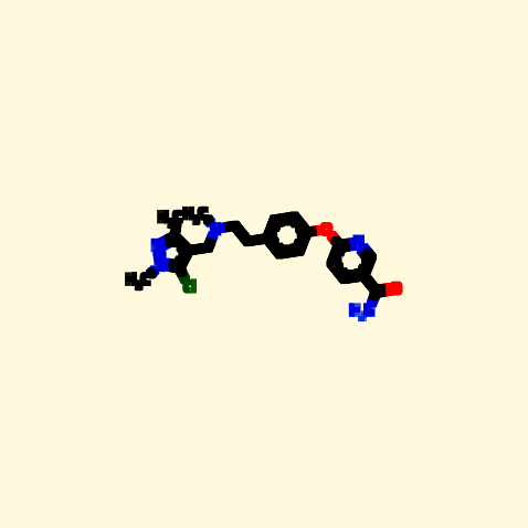 Cc1nn(C)c(Cl)c1CN(C)CCc1ccc(Oc2ccc(C(N)=O)cn2)cc1